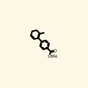 COC(=O)c1ccc(C2=C(C)CCC=C2)cc1